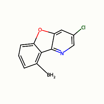 Bc1cccc2oc3cc(Cl)cnc3c12